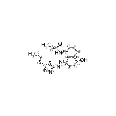 CCSc1nnc(/N=N/c2ccc(O)c3cccc(NC(=O)CC)c23)s1